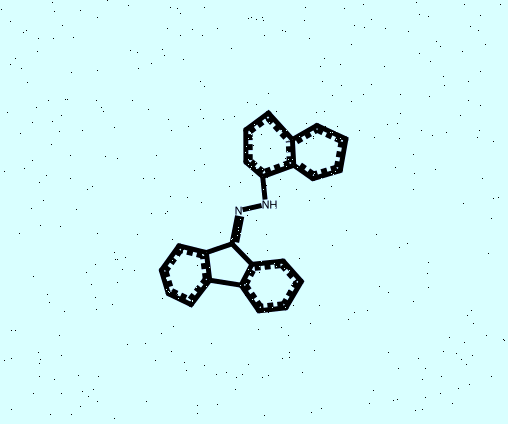 c1ccc2c(c1)C(=NNc1cccc3ccccc13)c1ccccc1-2